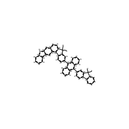 CC1(C)c2ccccc2-c2ccc(-c3c4ccccc4c(-c4ccc5c(c4)C(C)(C)c4ccc6cc7sc8ccccc8c7cc6c4-5)c4ccccc34)cc21